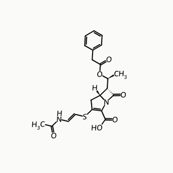 CC(=O)N/C=C/SC1=C(C(=O)O)N2C(=O)[C@@H]([C@H](C)OC(=O)Cc3ccccc3)[C@H]2C1